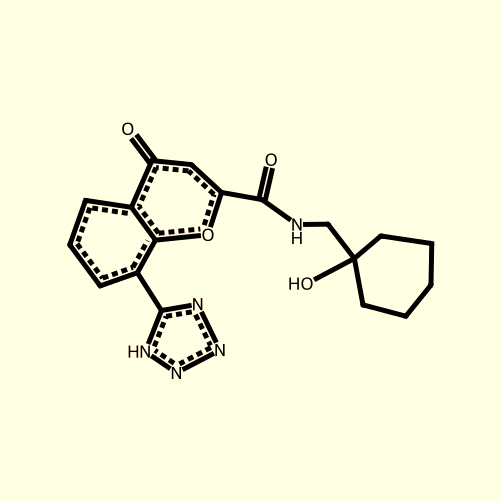 O=C(NCC1(O)CCCCC1)c1cc(=O)c2cccc(-c3nnn[nH]3)c2o1